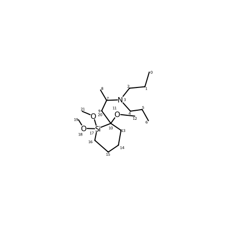 CCCN(CCC)C(C)CC1(OC)CCCC[Si]1(OC)OC